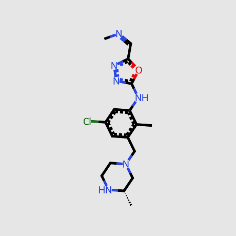 C/N=C\c1nnc(Nc2cc(Cl)cc(CN3CCN[C@@H](C)C3)c2C)o1